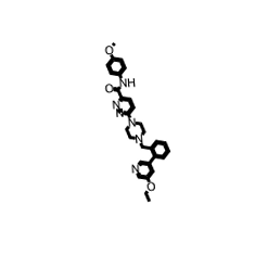 CCOc1cncc(-c2ccccc2CN2CCN(c3ccc(C(=O)Nc4ccc(OC)cc4)nn3)CC2)c1